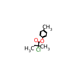 CCC(C)(Cl)C(=O)Oc1ccc(C)cc1